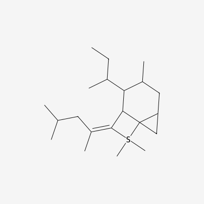 CCC(C)C1C(C)CC2CC23C1/C(=C(/C)CC(C)C)S3(C)C